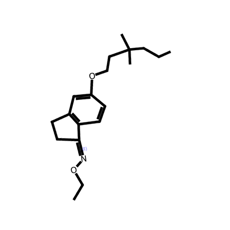 CCCC(C)(C)CCOc1ccc2c(c1)CC/C2=N\OCC